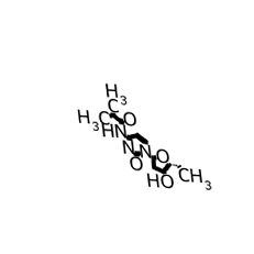 CC[C@H]1O[C@@H](n2ccc(NC(=O)C(C)C)nc2=O)CC1O